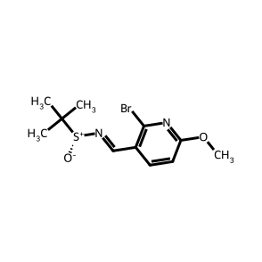 COc1ccc(/C=N/[S@+]([O-])C(C)(C)C)c(Br)n1